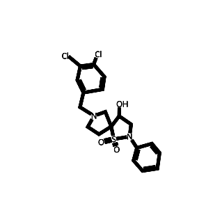 O=S1(=O)N(c2ccccc2)CC(O)C12CCN(Cc1ccc(Cl)c(Cl)c1)C2